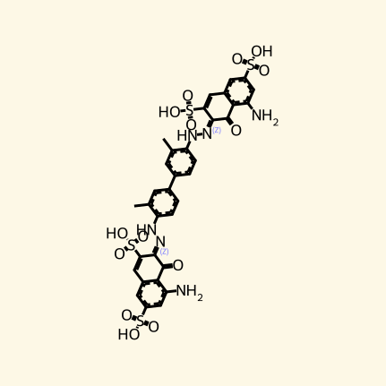 Cc1cc(-c2ccc(N/N=C3/C(=O)c4c(N)cc(S(=O)(=O)O)cc4C=C3S(=O)(=O)O)c(C)c2)ccc1N/N=C1/C(=O)c2c(N)cc(S(=O)(=O)O)cc2C=C1S(=O)(=O)O